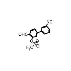 [C-]#[N+]c1cccc(-c2ccc(C=O)c(OS(=O)(=O)C(F)(F)F)c2)c1